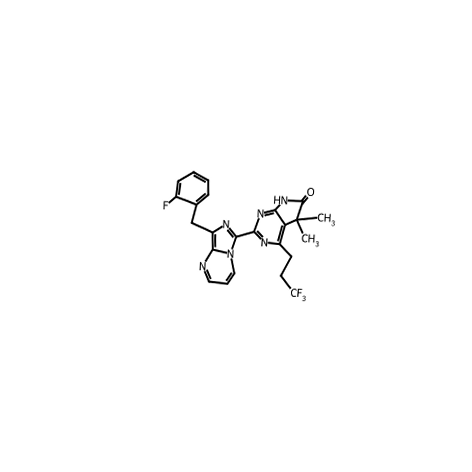 CC1(C)C(=O)Nc2nc(-c3nc(Cc4ccccc4F)c4ncccn34)nc(CCC(F)(F)F)c21